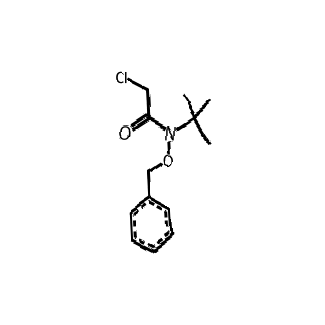 CC(C)(C)N(OCc1ccccc1)C(=O)CCl